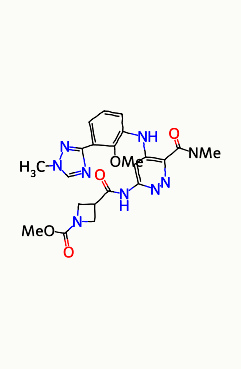 CNC(=O)c1nnc(NC(=O)C2CN(C(=O)OC)C2)cc1Nc1cccc(-c2ncn(C)n2)c1OC